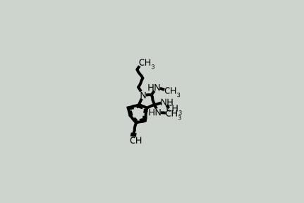 C#Cc1ccc2c(c1)C(NC)(NC)C(NC)N2CCCC